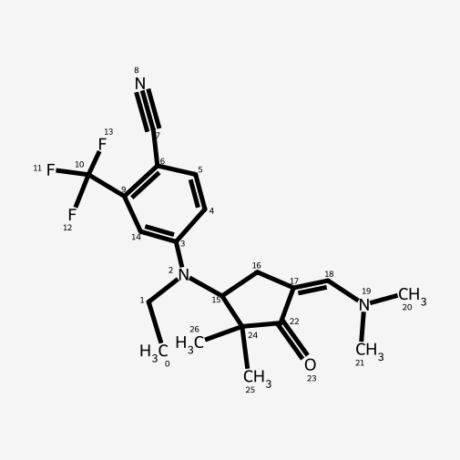 CCN(c1ccc(C#N)c(C(F)(F)F)c1)C1CC(=CN(C)C)C(=O)C1(C)C